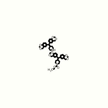 CCOC(=O)N1CCC(=C(c2ccc3c(c2)COCO3)c2ccc3c(c2)COCO3)CC1.c1cc2c(cc1C(=C1CCNCC1)c1ccc3c(c1)COCO3)COCO2